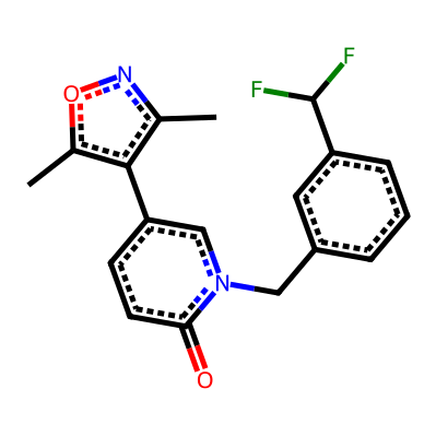 Cc1noc(C)c1-c1ccc(=O)n(Cc2cccc(C(F)F)c2)c1